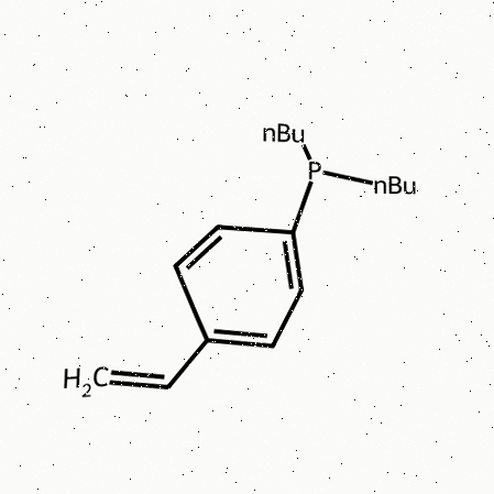 C=Cc1ccc(P(CCCC)CCCC)cc1